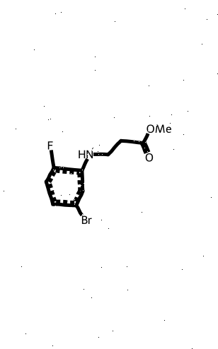 COC(=O)CCNc1cc(Br)ccc1F